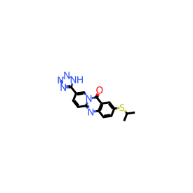 CC(C)Sc1ccc2nc3ccc(-c4nnn[nH]4)cn3c(=O)c2c1